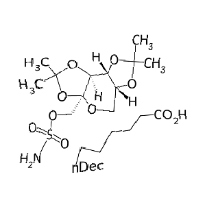 CC1(C)O[C@@H]2[C@@H](CO[C@@]3(COS(N)(=O)=O)OC(C)(C)O[C@@H]23)O1.CCCCCCCCCCCCCCCC(=O)O